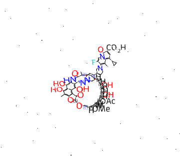 CO[C@H]1/C=C/O[C@@]2(C)Oc3c(C)c(O)c4c(O)c(c(/C=N/N5CCC(C6CCN(c7c(F)cn8c(=O)c(C(=O)O)cc(C9CC9)c8c7C)C6)CC5)c(O)c4c3C2=O)NC(=O)/C(C)=C\C=C\[C@H](C)[C@H](O)[C@@H](C)[C@@H](O)[C@@H](C)[C@H](OC(C)=O)[C@@H]1C